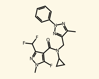 Cc1nn(-c2ccccc2)nc1CN(C(=O)c1c(C(F)F)nn(C)c1F)C1CC1